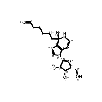 NC1(CCCCC[C]=O)NC=Nc2c1ncn2[C@@H]1O[C@H](CO)[C@@H](O)[C@H]1O